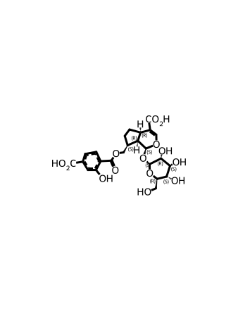 O=C(O)C1=CO[C@@H](O[C@@H]2O[C@H](CO)[C@@H](O)[C@H](O)[C@H]2O)[C@H]2[C@@H](COC(=O)c3ccc(C(=O)O)cc3O)CC[C@@H]12